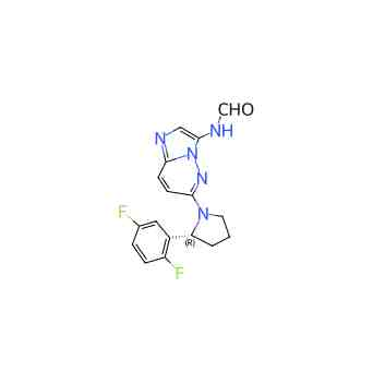 O=CNc1cnc2ccc(N3CCC[C@@H]3c3cc(F)ccc3F)nn12